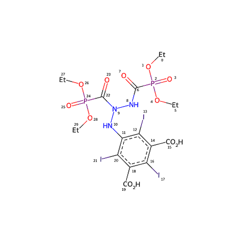 CCOP(=O)(OCC)C(=O)NN(Nc1c(I)c(C(=O)O)c(I)c(C(=O)O)c1I)C(=O)P(=O)(OCC)OCC